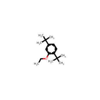 CCOc1cc(C(C)(C)C)ccc1C(C)(C)C